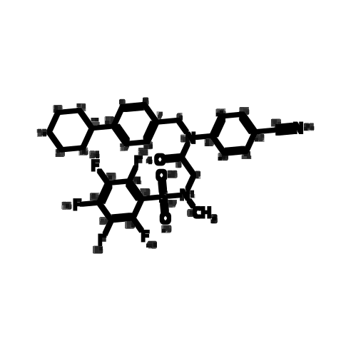 CN(CC(=O)N(Cc1ccc(C2CCCCC2)cc1)c1ccc(C#N)cc1)S(=O)(=O)c1c(F)c(F)c(F)c(F)c1F